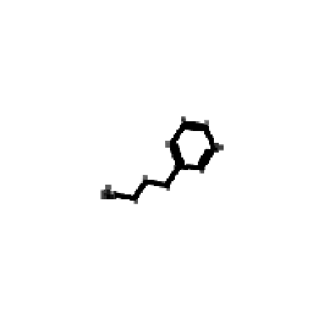 CCC(C)CCCc1cccnc1